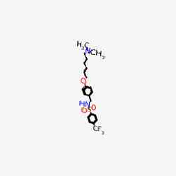 CN(C)CCCCCCOc1ccc(CNS(=O)(=O)c2ccc(C(F)(F)F)cc2)cc1